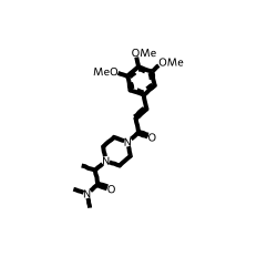 COc1cc(C=CC(=O)N2CCN(C(C)C(=O)N(C)C)CC2)cc(OC)c1OC